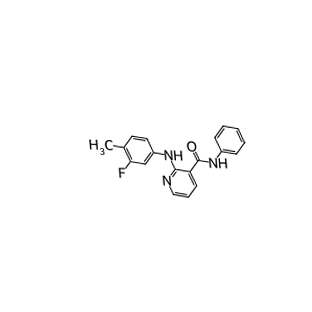 Cc1ccc(Nc2ncccc2C(=O)Nc2ccccc2)cc1F